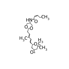 CC/C=C\C(=O)N[C@H]1CO[C@@H](C/C=C(C)/C=C/[C@@H]2C[C@]3(CO3)CC(C)(C)O2)OC1